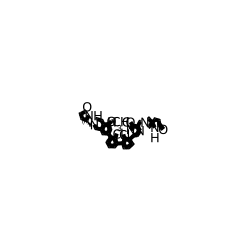 COc1cc(-c2cccc(-c3cccc(-c4cnc(CN5CC6(CCC(=O)N6)C5)c(OC)n4)c3Cl)c2Cl)cc2c1CCN(C[C@H]1CCC(=O)N1)C2